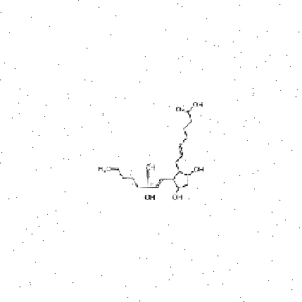 C#C[C@@](O)(C=CC1C(O)CC(O)C1CC=CCCCC(=O)O)CCCCC